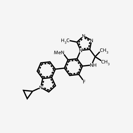 CNc1c(-c2cccc3c2ccn3C2CC2)cc(F)c2c1-n1c(C)nnc1C(C)(C)N2